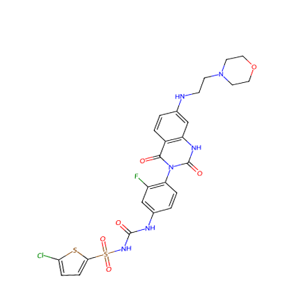 O=C(Nc1ccc(-n2c(=O)[nH]c3cc(NCCN4CCOCC4)ccc3c2=O)c(F)c1)NS(=O)(=O)c1ccc(Cl)s1